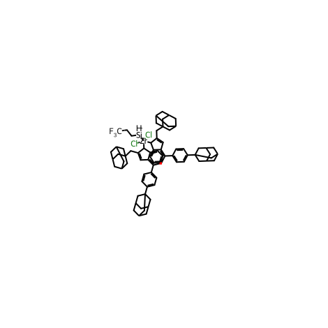 C[SiH](CCC(F)(F)F)[Zr]([Cl])([Cl])([CH]1C(CC23CC4CC(CC(C4)C2)C3)=Cc2c(-c3ccc(C45CC6CC(CC(C6)C4)C5)cc3)cccc21)[CH]1C(CC23CC4CC(CC(C4)C2)C3)=Cc2c(-c3ccc(C45CC6CC(CC(C6)C4)C5)cc3)cccc21